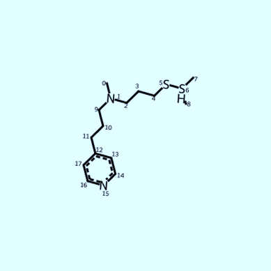 CN(CCCS[SH](C)C)CCCc1ccncc1